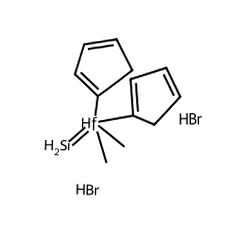 Br.Br.[CH3][Hf]([CH3])(=[SiH2])([C]1=CC=CC1)[C]1=CC=CC1